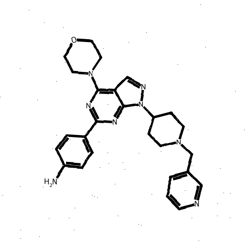 Nc1ccc(-c2nc(N3CCOCC3)c3cnn(C4CCN(Cc5cccnc5)CC4)c3n2)cc1